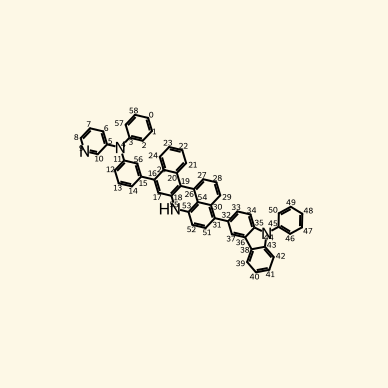 c1ccc(N(c2cccnc2)c2cccc(-c3cc4c(c5ccccc35)-c3cccc5c(-c6ccc7c(c6)c6ccccc6n7-c6ccccc6)ccc(c35)N4)c2)cc1